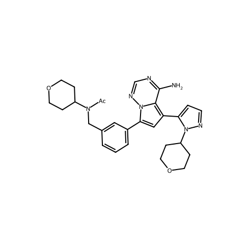 CC(=O)N(Cc1cccc(-c2cc(-c3ccnn3C3CCOCC3)c3c(N)ncnn23)c1)C1CCOCC1